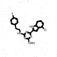 COc1nc(NCCc2ccc(F)cc2)nc(-c2cc3c(Cl)cccc3[nH]2)n1